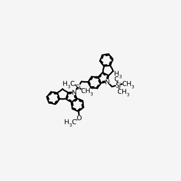 COc1ccc2c(c1)c1c(n2[Si](C)(C)Cc2ccc3c(c2)c2c(n3C[Si](C)(C)C)Cc3ccccc3-2)Cc2ccccc2-1